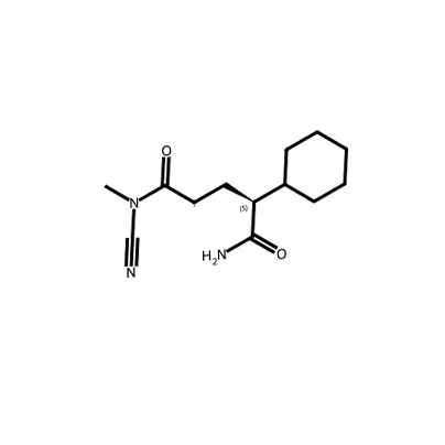 CN(C#N)C(=O)[CH]C[C@H](C(N)=O)C1CCCCC1